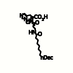 CCCCCCCCCCCCCCCCCC(=O)NCCC(=O)N[C@@H](Cc1cncn1C)C(=O)O